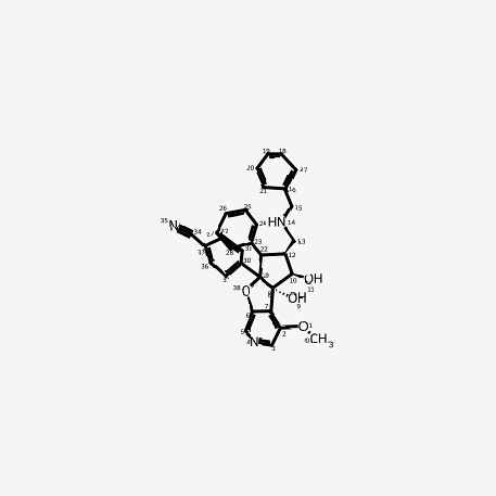 COc1cncc2c1[C@]1(O)[C@H](O)[C@H](CNCc3ccccc3)C(c3ccccc3)C1(c1ccc(C#N)cc1)O2